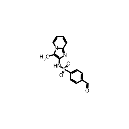 Cc1c(NS(=O)(=O)c2ccc(C=O)cc2)nc2ccccn12